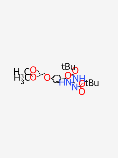 CC(C)(C)OC(=O)N=C(NCc1ccc(OCC2COC(C)(C)OC2)cc1)NC(=O)OC(C)(C)C